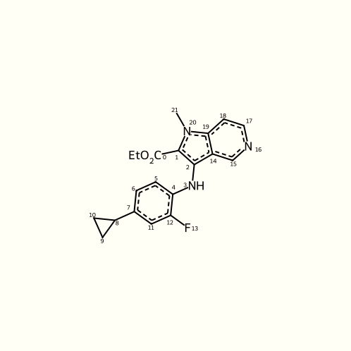 CCOC(=O)c1c(Nc2ccc(C3CC3)cc2F)c2cnccc2n1C